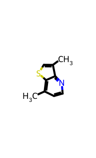 Cc1csc2c(C)ccnc12